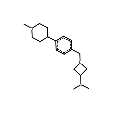 CN1CCC(c2ccc(CN3CC(N(C)C)C3)cc2)CC1